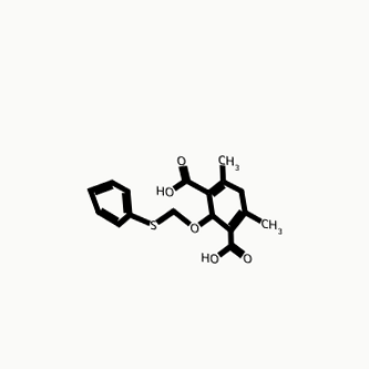 CC1=C(C(=O)O)C(OCSc2ccccc2)C(C(=O)O)=C(C)C1